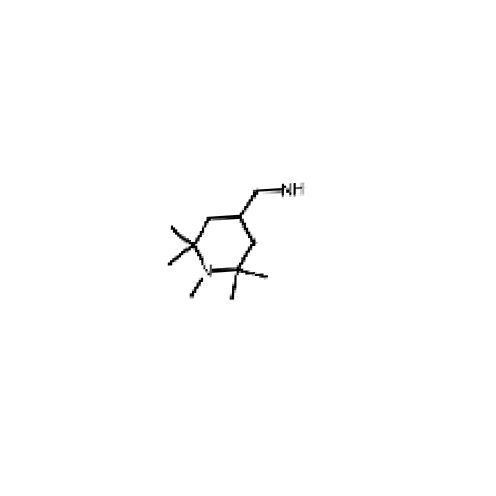 CN1C(C)(C)CC(C[NH])CC1(C)C